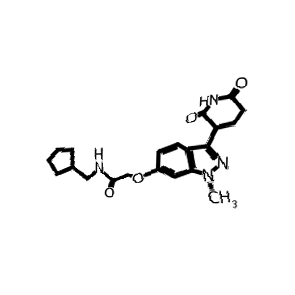 Cn1nc(C2CCC(=O)NC2=O)c2ccc(OCC(=O)NCC3CCCC3)cc21